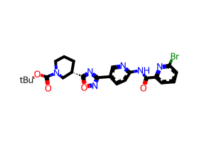 CC(C)(C)OC(=O)N1CCC[C@H](c2nc(-c3ccc(NC(=O)c4cccc(Br)n4)nc3)no2)C1